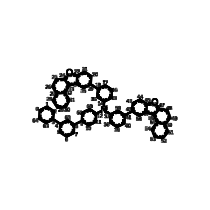 c1ccc(-c2cccc(-c3ccc(N(c4cccc(-c5ccc6oc7ccc8ccccc8c7c6c5)c4)c4cccc(-c5ccc6oc7ccc8ccccc8c7c6c5)c4)cc3)c2)cc1